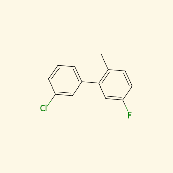 Cc1ccc(F)cc1-c1cccc(Cl)c1